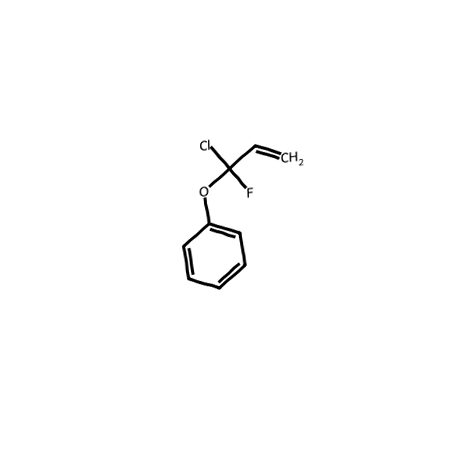 C=CC(F)(Cl)Oc1ccccc1